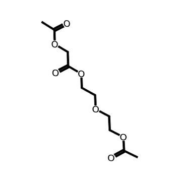 CC(=O)OCCOCCOC(=O)COC(C)=O